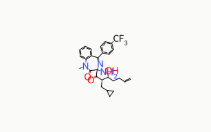 C=CCC[C@H](O)[C@@H](CC1CC1)C(=O)C1(N)N=C(c2ccc(C(F)(F)F)cc2)c2ccccc2N(C)C1=O